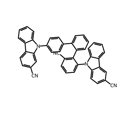 N#Cc1ccc2c(c1)c1ccccc1n2-c1cccc(C#N)c1-c1ccccc1-c1ccc(-n2c3ccccc3c3ccc(C#N)cc32)cc1